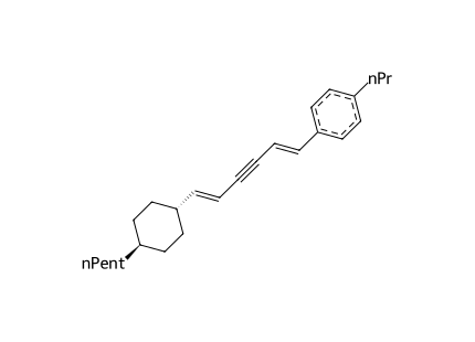 CCCCC[C@H]1CC[C@H](/C=C/C#C/C=C/c2ccc(CCC)cc2)CC1